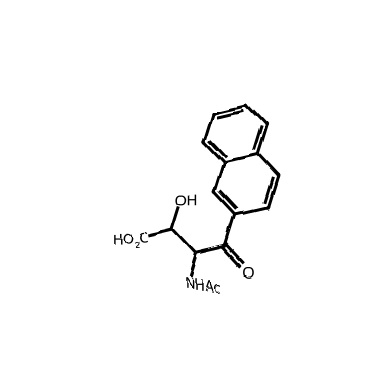 CC(=O)NC(C(=O)c1ccc2ccccc2c1)C(O)C(=O)O